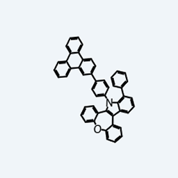 c1ccc(-c2cccc3c4c(n(-c5ccc(-c6ccc7c8ccccc8c8ccccc8c7c6)cc5)c23)-c2ccccc2Oc2ccccc2-4)cc1